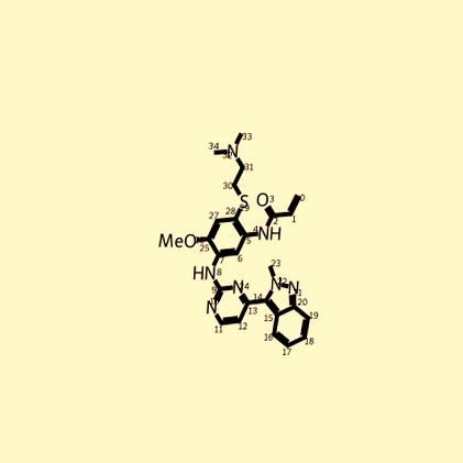 C=CC(=O)Nc1cc(Nc2nccc(-c3c4ccccc4nn3C)n2)c(OC)cc1SCCN(C)C